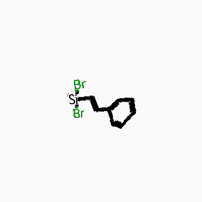 C[Si](Br)(Br)/C=C/c1ccccc1